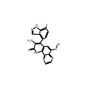 CC(C)Oc1cc2c(-c3ccc(F)c4[nH]ncc34)c(N)c(=O)[nH]c2c2nccnc12